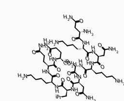 CC[C@H](C)[C@H](NC(=O)[C@H](CCCCN)NC(=O)[C@H](CC(N)=O)NC(=O)[C@H](CCCCN)NC(=O)[C@@H](N)CC(N)=O)C(=O)N[C@@H](CC(N)=O)C(=O)N[C@@H](CC(C)C)C(=O)N[C@@H](CCCCN)C(=O)N[C@@H](CCC(N)=O)C(=O)N[C@@H](CCC(N)=O)C(=O)O